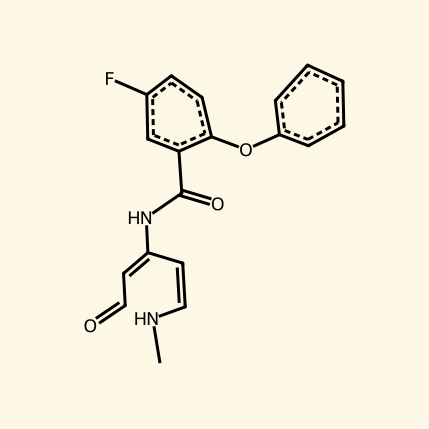 CN/C=C\C(=C/C=O)NC(=O)c1cc(F)ccc1Oc1ccccc1